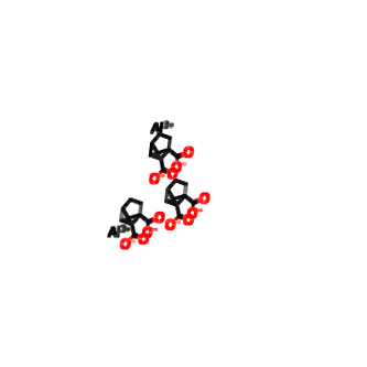 O=C([O-])C1=CC2CCC1(C(=O)[O-])C2.O=C([O-])C1=CC2CCC1(C(=O)[O-])C2.O=C([O-])C1=CC2CCC1(C(=O)[O-])C2.[Al+3].[Al+3]